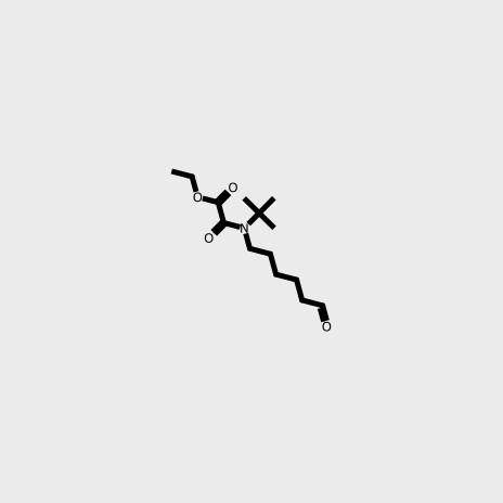 CCOC(=O)C(=O)N(CCCCCC=O)C(C)(C)C